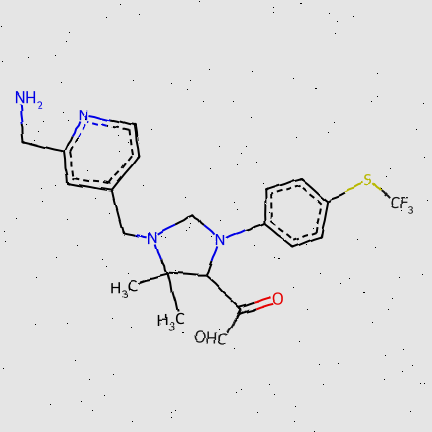 CC1(C)C(C(=O)C=O)N(c2ccc(SC(F)(F)F)cc2)CN1Cc1ccnc(CN)c1